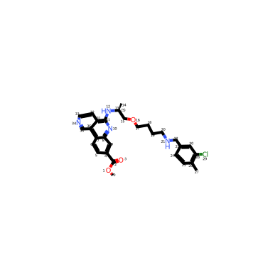 COC(=O)c1ccc2c(c1)nc(N[C@@H](C)COCCCCNCc1ccc(C)c(Cl)c1)c1ccncc12